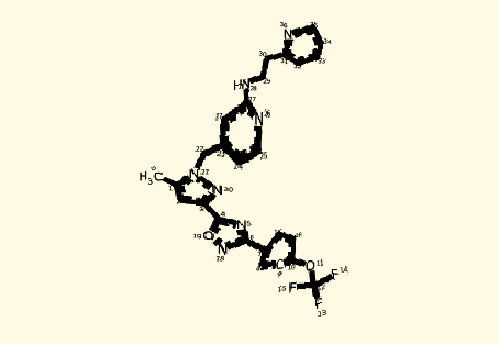 Cc1cc(-c2nc(-c3ccc(OC(F)(F)F)cc3)no2)nn1Cc1ccnc(NCCc2ccccn2)c1